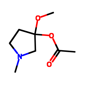 COC1(OC(C)=O)CCN(C)C1